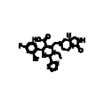 CCN1C(c2nccs2)=N[C@@H](c2ccc(F)cc2Br)C(C(=O)O)=C1CN1CCN2C(=O)NC[C@@H]2C1